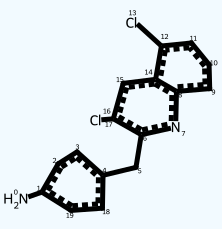 Nc1ccc(Cc2nc3cccc(Cl)c3cc2Cl)cc1